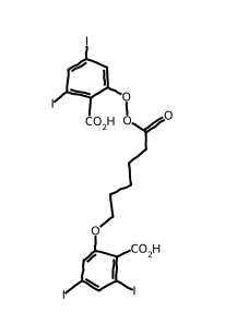 O=C(CCCCCOc1cc(I)cc(I)c1C(=O)O)OOc1cc(I)cc(I)c1C(=O)O